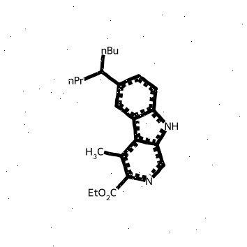 CCCCC(CCC)c1ccc2[nH]c3cnc(C(=O)OCC)c(C)c3c2c1